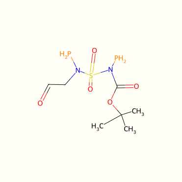 CC(C)(C)OC(=O)N(P)S(=O)(=O)N(P)CC=O